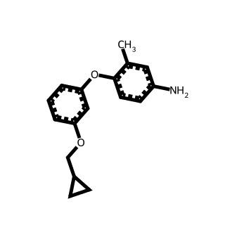 Cc1cc(N)ccc1Oc1cccc(OCC2CC2)c1